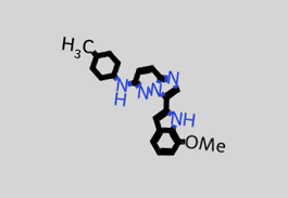 COc1cccc2cc(-c3cnc4ccc(NC5CCC(C)CC5)nn34)[nH]c12